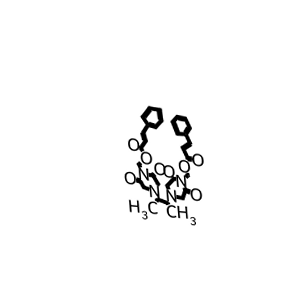 CC(C(C)N1CC(=O)N(COC(=O)C=Cc2ccccc2)C(=O)C1)N1CC(=O)N(COC(=O)C=Cc2ccccc2)C(=O)C1